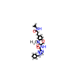 CN1C(=O)C(NC(=O)c2ncn(Cc3ccccc3)n2)COc2ccc(CCC(=O)NC3CC3)cc21